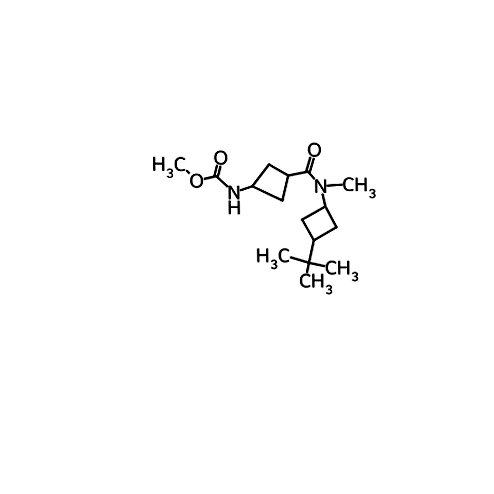 COC(=O)NC1CC(C(=O)N(C)C2CC(C(C)(C)C)C2)C1